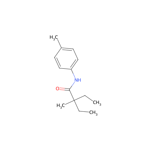 CCC(C)(CC)C(=O)Nc1ccc(C)cc1